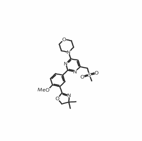 COc1ccc(-c2nc(CS(C)(=O)=O)cc(N3CCOCC3)n2)cc1C1=NC(C)(C)CO1